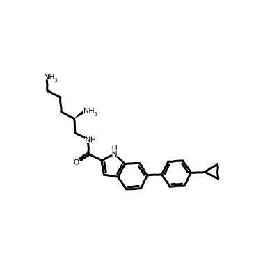 NCCC[C@@H](N)CNC(=O)c1cc2ccc(-c3ccc(C4CC4)cc3)cc2[nH]1